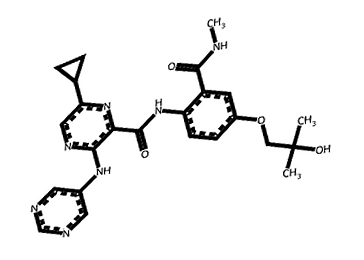 CNC(=O)c1cc(OCC(C)(C)O)ccc1NC(=O)c1nc(C2CC2)cnc1Nc1cncnc1